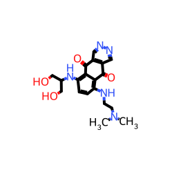 CN(C)CCNc1ccc(NC(CO)CO)c2c1C(=O)c1cnncc1C2=O